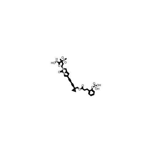 CC(CCN1Cc2cc(C#CC#CC3(COC(=O)CCc4ccccc4OP(=O)(O)O)CC3)cn2C1=O)(C(=O)NO)S(C)(=O)=O